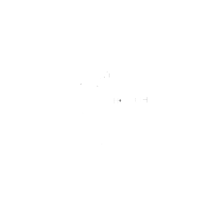 Cl.Cl.[Zr][CH]1C=Cc2ccccc21